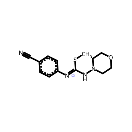 CS/C(=N\c1ccc(C#N)cc1)NN1CCOCC1